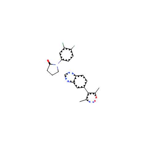 Cc1noc(C)c1-c1ccc2[nH]c([C@@H]3CCC(=O)N3c3ccc(Cl)c(Cl)c3)nc2c1